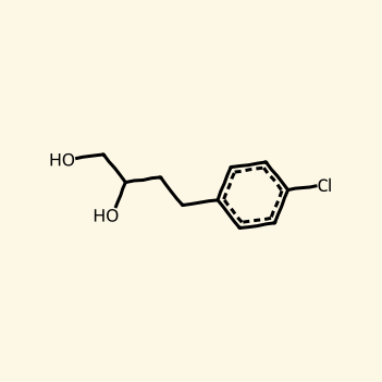 OCC(O)CCc1ccc(Cl)cc1